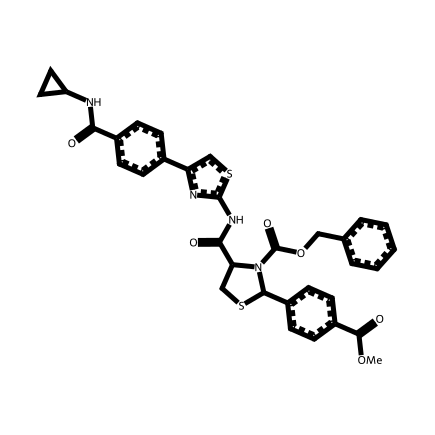 COC(=O)c1ccc(C2SCC(C(=O)Nc3nc(-c4ccc(C(=O)NC5CC5)cc4)cs3)N2C(=O)OCc2ccccc2)cc1